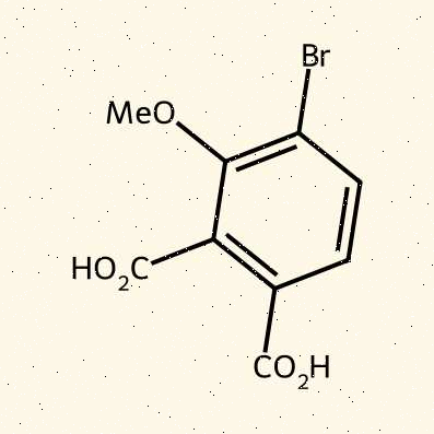 COc1c(Br)ccc(C(=O)O)c1C(=O)O